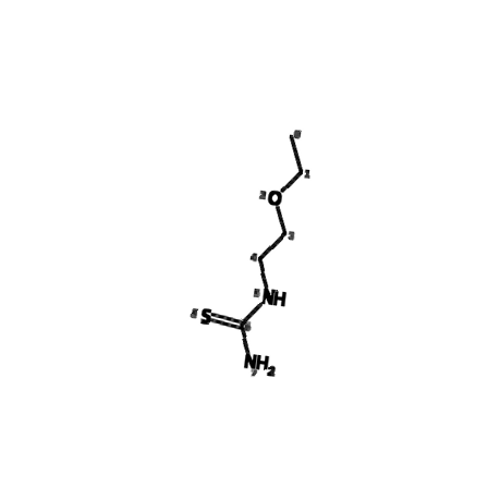 CCOCCNC(N)=S